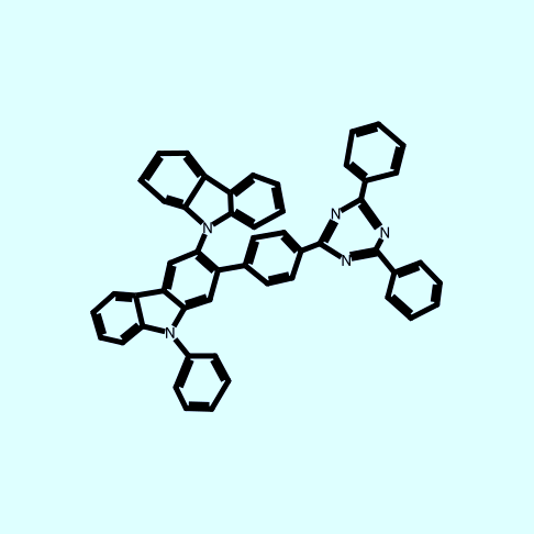 c1ccc(-c2nc(-c3ccccc3)nc(-c3ccc(-c4cc5c(cc4-n4c6ccccc6c6ccccc64)c4ccccc4n5-c4ccccc4)cc3)n2)cc1